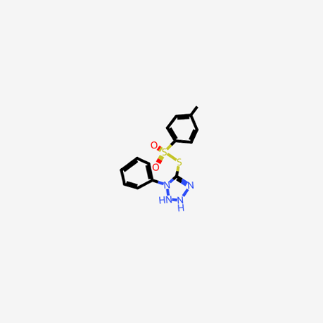 Cc1ccc(S(=O)(=O)SC2=NNNN2c2ccccc2)cc1